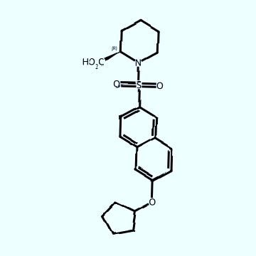 O=C(O)[C@H]1CCCCN1S(=O)(=O)c1ccc2cc(OC3CCCC3)ccc2c1